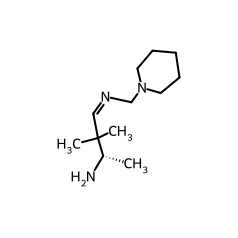 C[C@H](N)C(C)(C)/C=N\CN1CCCCC1